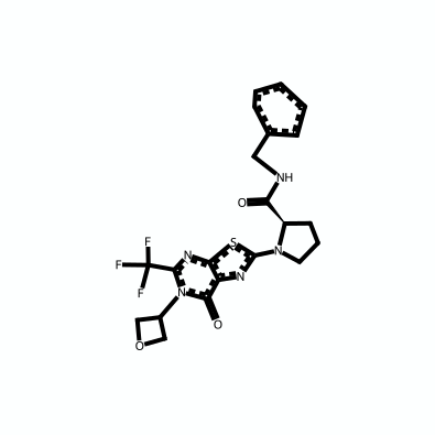 O=C(NCc1ccccc1)[C@H]1CCCN1c1nc2c(=O)n(C3COC3)c(C(F)(F)F)nc2s1